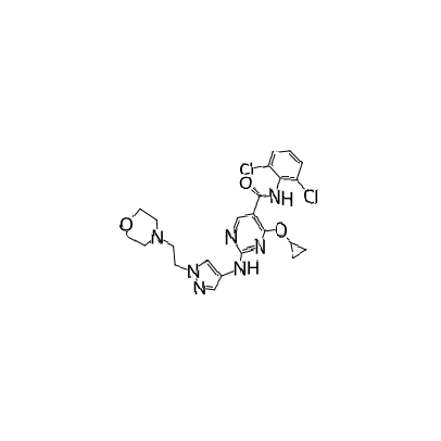 O=C(Nc1c(Cl)cccc1Cl)c1cnc(Nc2cnn(CCN3CCOCC3)c2)nc1OC1CC1